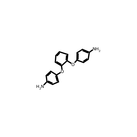 Nc1ccc(Oc2ccccc2Oc2ccc(N)cc2)cc1